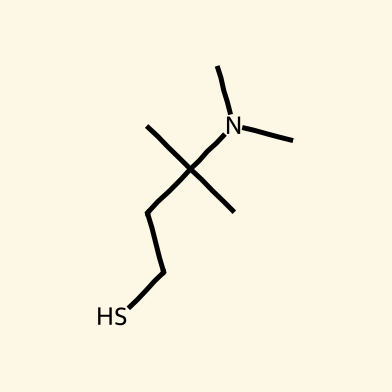 CN(C)C(C)(C)CCS